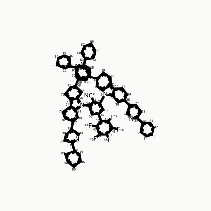 N#Cc1c(-n2c3cc(-c4ccc(-c5ccccc5)nc4)ccc3c3ccc(-c4ccc(-c5ccccc5)nc4)cc32)cc(-c2c(F)c(F)c(F)c(F)c2F)cc1-n1c2cc(-c3ccc(-c4ccccc4)nc3)ccc2c2ccc(-c3ccc(-c4ccccc4)nc3)cc21